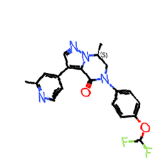 Cc1cc(-c2cnn3c2C(=O)N(c2ccc(OC(F)F)cc2)C[C@@H]3C)ccn1